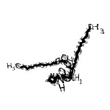 CCCCCCCCCCCCCCCCC(COC(C)COCCCCCCCCCCCCCC)OCC(C)OC(=O)NCc1ccccn1